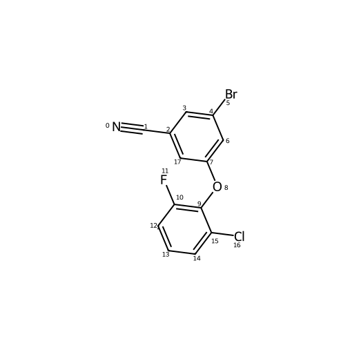 N#Cc1cc(Br)cc(Oc2c(F)[c]ccc2Cl)c1